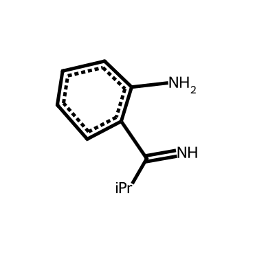 CC(C)C(=N)c1ccccc1N